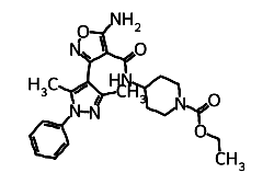 CCOC(=O)N1CCC(NC(=O)c2c(-c3c(C)nn(-c4ccccc4)c3C)noc2N)CC1